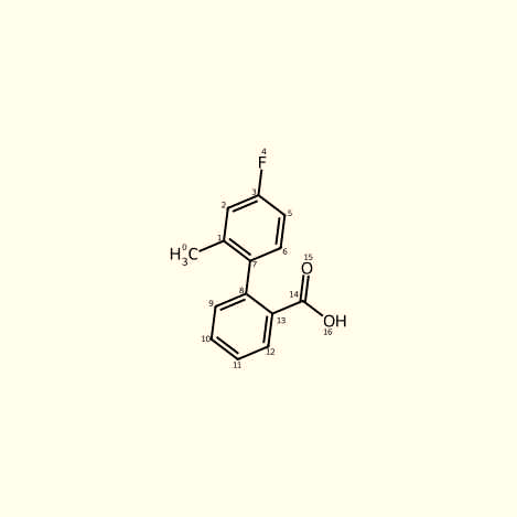 Cc1cc(F)ccc1-c1ccccc1C(=O)O